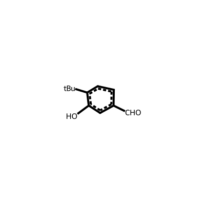 CC(C)(C)c1ccc(C=O)cc1O